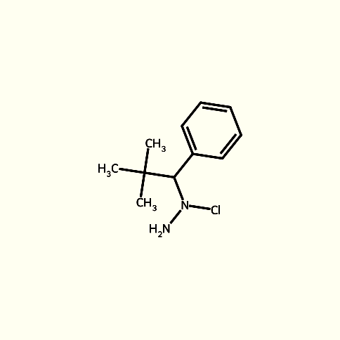 CC(C)(C)C(c1ccccc1)N(N)Cl